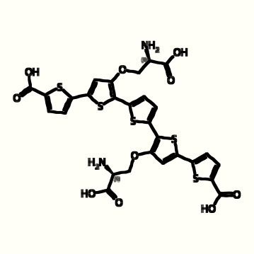 N[C@H](COc1cc(-c2ccc(C(=O)O)s2)sc1-c1ccc(-c2sc(-c3ccc(C(=O)O)s3)cc2OC[C@H](N)C(=O)O)s1)C(=O)O